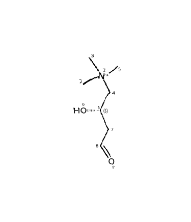 C[N+](C)(C)C[C@@H](O)CC=O